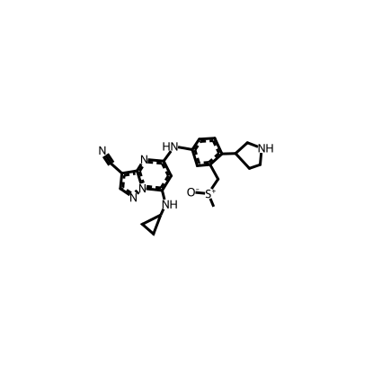 C[S+]([O-])Cc1cc(Nc2cc(NC3CC3)n3ncc(C#N)c3n2)ccc1C1CCNC1